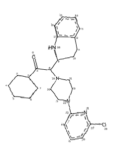 O=C(C1CCCCC1)C(C1CCc2ccccc2N1)N1CCN(c2cccc(Cl)n2)CC1